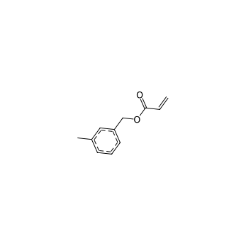 C=CC(=O)OCc1cccc(C)c1